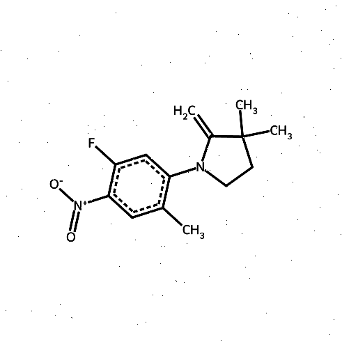 C=C1N(c2cc(F)c([N+](=O)[O-])cc2C)CCC1(C)C